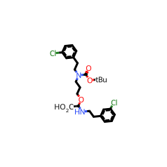 CC(C)(C)OC(=O)N(CCCOC(NCCc1cccc(Cl)c1)C(=O)O)CCc1cccc(Cl)c1